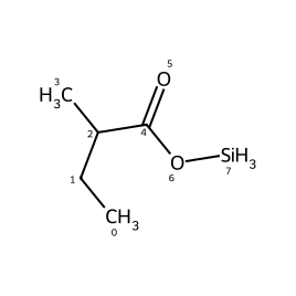 CCC(C)C(=O)O[SiH3]